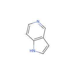 [c]1cncc2cc[nH]c12